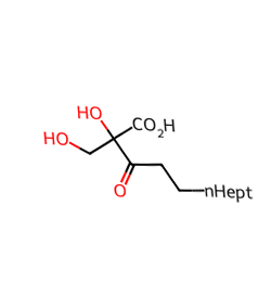 CCCCCCCCCC(=O)C(O)(CO)C(=O)O